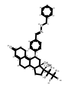 C[C@]12C[C@H](c3ccc(/C=N/OCc4ccccc4)cc3)C3=C4CCC(=O)C=C4CCC3C1CC[C@@]2(O)C(F)(F)C(F)(F)F